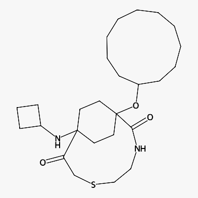 O=C1CSCCNC(=O)C2(OC3CCCCCCCCCC3)CCC1(NC1CCC1)CC2